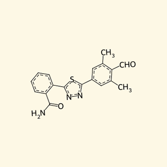 Cc1cc(-c2nnc(-c3ccccc3C(N)=O)s2)cc(C)c1C=O